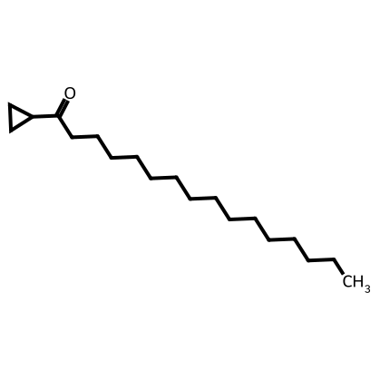 CCCCCCCCCCCCCCCC(=O)C1CC1